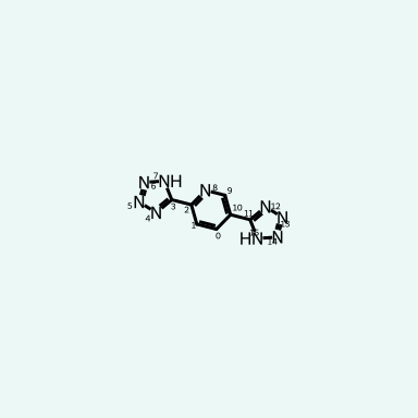 c1cc(-c2nnn[nH]2)ncc1-c1nnn[nH]1